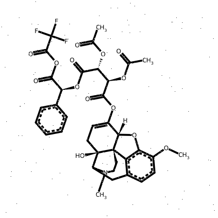 COc1ccc2c3c1O[C@H]1C(OC(=O)[C@H](OC(C)=O)[C@@H](OC(C)=O)C(=O)O[C@H](C(=O)OC(=O)C(F)(F)F)c4ccccc4)=CC[C@@]4(O)C(C2)N(C)CC[C@]314